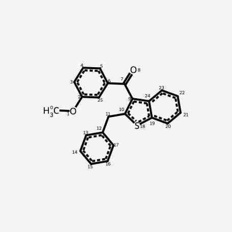 COc1cccc(C(=O)c2c(Cc3ccccc3)sc3ccccc23)c1